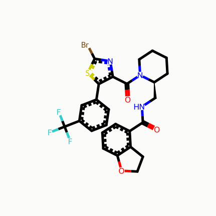 O=C(NC[C@@H]1CCCCN1C(=O)c1nc(Br)sc1-c1cccc(C(F)(F)F)c1)c1cccc2c1CCO2